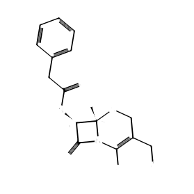 O=C(Cc1ccccc1)N[C@@H]1C(=O)N2C(C(=O)O)=C(CCl)CS[C@@H]12